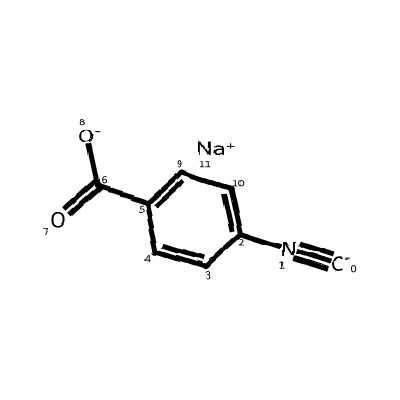 [C-]#[N+]c1ccc(C(=O)[O-])cc1.[Na+]